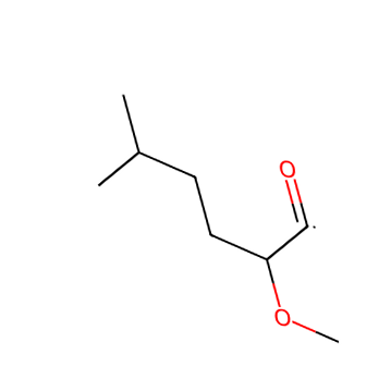 COC([C]=O)CCC(C)C